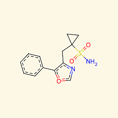 NS(=O)(=O)C1(Cc2ncoc2-c2ccccc2)CC1